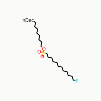 CCCCCCCCCCCCCCCCCCOS(=O)(=O)CCCCCCCCCCCCF